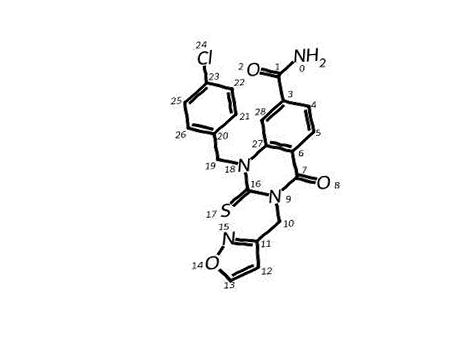 NC(=O)c1ccc2c(=O)n(Cc3ccon3)c(=S)n(Cc3ccc(Cl)cc3)c2c1